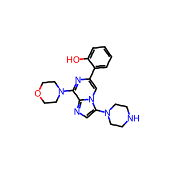 Oc1ccccc1-c1cn2c(N3CCNCC3)cnc2c(N2CCOCC2)n1